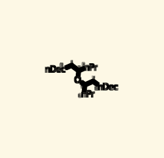 CCCCCCCCCCCC(CCC)OC(CCC)CCCCCCCCCCC